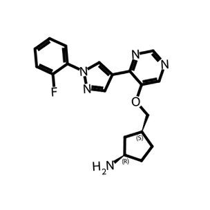 N[C@@H]1CC[C@H](COc2cncnc2-c2cnn(-c3ccccc3F)c2)C1